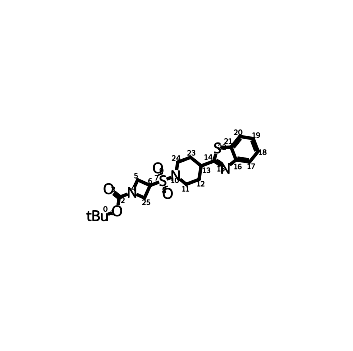 CC(C)(C)OC(=O)N1CC(S(=O)(=O)N2CCC(c3nc4ccccc4s3)CC2)C1